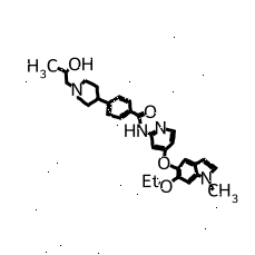 CCOc1cc2c(ccn2C)cc1Oc1ccnc(NC(=O)c2ccc(C3CCN(CC(C)O)CC3)cc2)c1